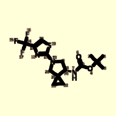 CC(C)(C)OC(=O)N[C@H]1CN(c2nc(C(F)(F)F)cs2)CC12CC2